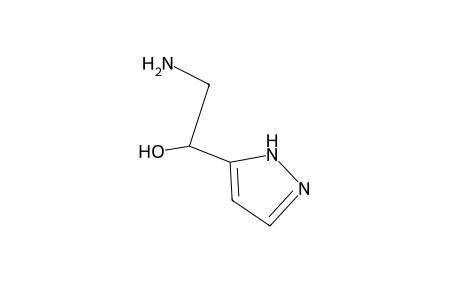 NCC(O)c1ccn[nH]1